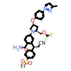 CCS(=O)(=O)c1ccc([C@H](CC#N)c2cc(N3C[C@@H](Oc4ccc(-n5ccc(C)n5)cc4)C[C@H]3COC(F)F)ccc2C(N)=O)cc1